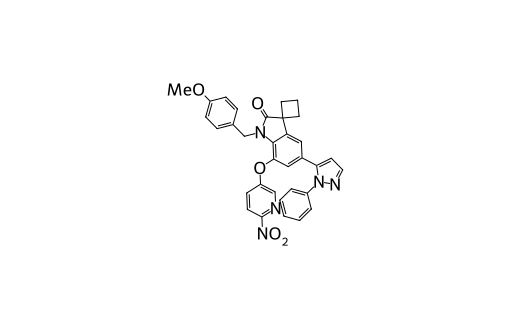 COc1ccc(CN2C(=O)C3(CCC3)c3cc(-c4ccnn4-c4ccccc4)cc(Oc4ccc([N+](=O)[O-])nc4)c32)cc1